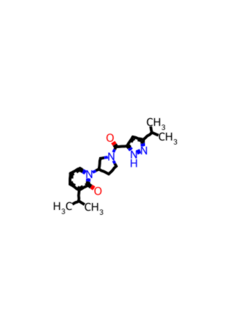 CC(C)c1cc(C(=O)N2CCC(n3cccc(C(C)C)c3=O)C2)[nH]n1